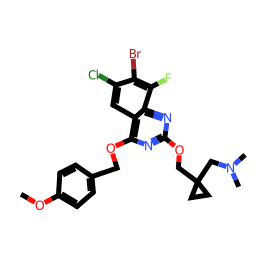 COc1ccc(COc2nc(OCC3(CN(C)C)CC3)nc3c(F)c(Br)c(Cl)cc23)cc1